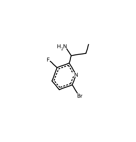 CCC(N)c1nc(Br)ccc1F